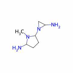 CN1C(N)CCC1N1CC1N